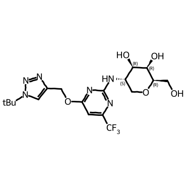 CC(C)(C)n1cc(COc2cc(C(F)(F)F)nc(N[C@H]3CO[C@H](CO)[C@H](O)[C@@H]3O)n2)nn1